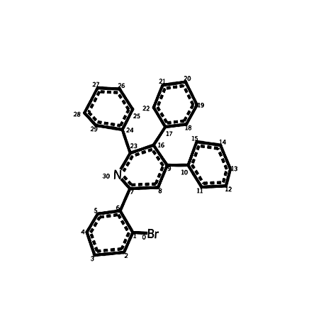 Brc1ccccc1-c1cc(-c2ccccc2)c(-c2ccccc2)c(-c2ccccc2)n1